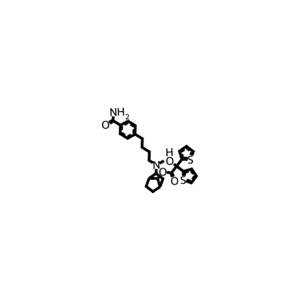 CN(CCCCc1ccc(C(N)=O)cc1)C1CC2CCC1C2OC(=O)C(O)(c1cccs1)c1cccs1